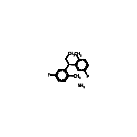 CCC(c1cc(F)ccc1C)c1cc(F)ccc1C.N